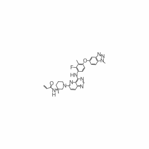 C=CC(=O)N[C@]1(C)CCCN(c2ccc3ncnc(Nc4ccc(Oc5ccc6c(c5)nnn6C)c(C)c4F)c3n2)C1